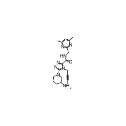 CC#CCn1c(C(=O)NCc2nc(C)cc(C)n2)nnc1N1CCCC(N)C1